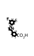 O=C(O)c1cccc(-c2ccn(-c3cc(F)cc(F)c3)n2)c1